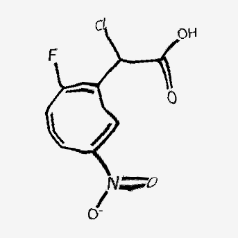 O=C(O)C(Cl)c1cc([N+](=O)[O-])ccc1F